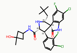 CC(C)(C)C[C@H]1N[C@@H](C(=O)NC2CC(C)(O)C2)[C@H](c2cccc(Cl)c2F)[C@@]12C(=O)Nc1cc(Cl)c(F)cc12